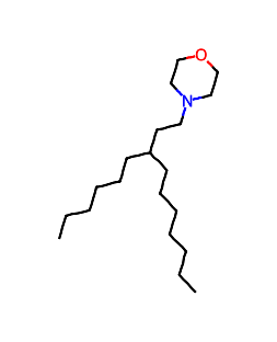 CCCCCCCC(CCCCCC)CCN1CCOCC1